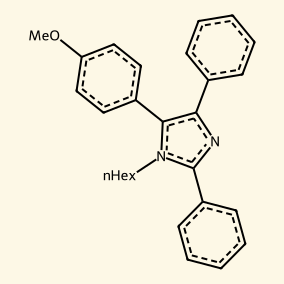 CCCCCCn1c(-c2ccccc2)nc(-c2ccccc2)c1-c1ccc(OC)cc1